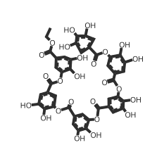 CCOC(=O)c1cc(O)c(O)c(OC(=O)c2cc(O)c(O)c(OC(=O)c3cc(O)c(O)c(OC(=O)c4cc(O)c(O)c(OC(=O)c5cc(O)c(O)c(OC(=O)c6cc(O)c(O)c(O)c6)c5)c4)c3)c2)c1